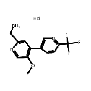 COc1cnc(CN)cc1-c1ccc(C(F)(F)F)nc1.Cl